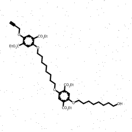 C#CCOc1cc(C(=O)OCC)c(OCCCCCCCCOc2cc(C(=O)OCC)c(OCCCCCCCCO)cc2C(=O)OCC)cc1C(=O)OCC